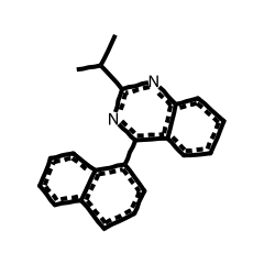 CC(C)c1nc(-c2cccc3ccccc23)c2ccccc2n1